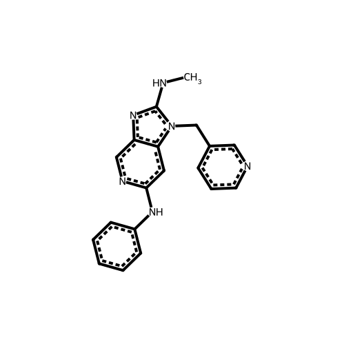 CNc1nc2cnc(Nc3ccccc3)cc2n1Cc1cccnc1